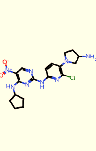 NC1CCN(c2ccc(Nc3ncc([N+](=O)[O-])c(NC4CCCC4)n3)nc2Cl)C1